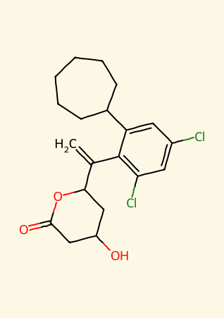 C=C(c1c(Cl)cc(Cl)cc1C1CCCCCC1)C1CC(O)CC(=O)O1